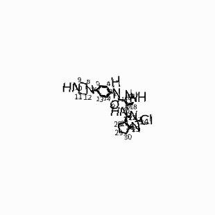 O=C(Nc1ccc(N2CCNCC2)cc1)c1n[nH]cc1Nc1nc(Cl)nc2c1CCC2